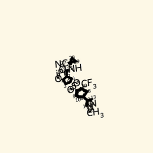 CC(C)O[C@H]1C[C@@H](S(=O)(=O)c2ccc(-c3cnn(C)c3)cc2C(F)(F)F)CC1C(=O)NC1(C#N)CC1